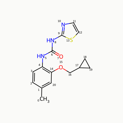 Cc1ccc(NC(=O)Nc2nccs2)c(OCC2CC2)c1